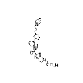 O=C(O)CN1CCc2nc(C(=O)N3CCc4c(-c5cccc(CCCN6CCOCC6)c5)cccc43)sc2C1